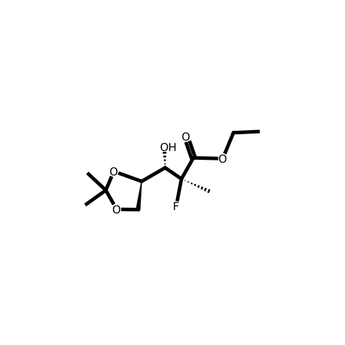 CCOC(=O)[C@@](C)(F)[C@@H](O)[C@H]1COC(C)(C)O1